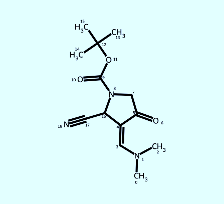 CN(C)/C=C1\C(=O)CN(C(=O)OC(C)(C)C)C1C#N